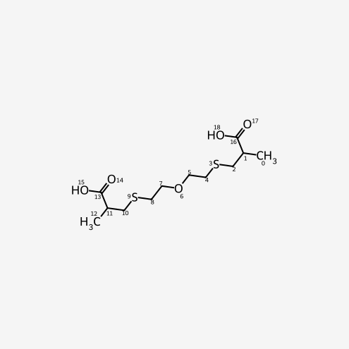 CC(CSCCOCCSCC(C)C(=O)O)C(=O)O